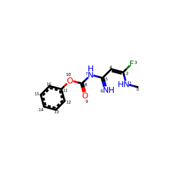 CN/C(F)=C\C(=N)NC(=O)Oc1ccccc1